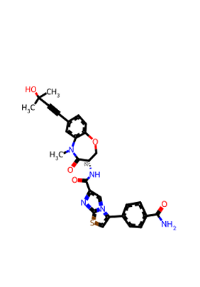 CN1C(=O)[C@@H](NC(=O)c2cn3c(-c4ccc(C(N)=O)cc4)csc3n2)COc2ccc(C#CC(C)(C)O)cc21